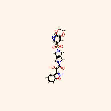 O=C(C(O)c1noc2ccccc12)N1CC2=C(C1)CN(S(=O)(=O)c1cnc3c(c1)OCCO3)C2